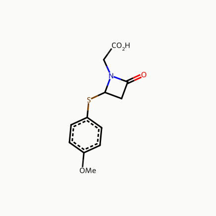 COc1ccc(SC2CC(=O)N2CC(=O)O)cc1